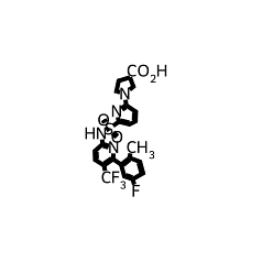 Cc1ccc(F)cc1-c1nc(NS(=O)(=O)c2cccc(N3CCC(C(=O)O)C3)n2)ccc1C(F)(F)F